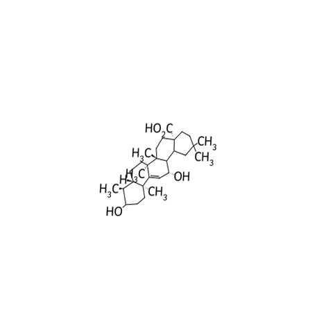 C[C@@H]1C(O)CC[C@]2(C)C3=C[C@@H](O)C4C5CC(C)(C)CC[C@]5(C(=O)O)CC[C@@]4(C)[C@]3(C)CC[C@@H]12